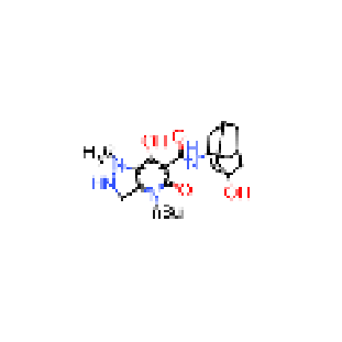 CCCCn1c2c(c(O)c(C(=O)NC34CC5CC(CC(O)(C5)C3)C4)c1=O)N(C)NC2